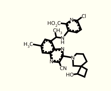 Cc1cc(C(C)Nc2ccc(Cl)nc2C(=O)O)c2nc(N3CCCC4(CCC4O)C3)c(C#N)nc2c1